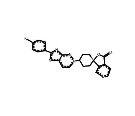 O=C1O[C@]2(CC[C@H](n3ccc4nc(-c5ccc(F)cc5)nc-4n3)CC2)c2cnccc21